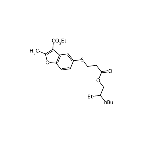 CCCCC(CC)COC(=O)CCSc1ccc2oc(C)c(C(=O)OCC)c2c1